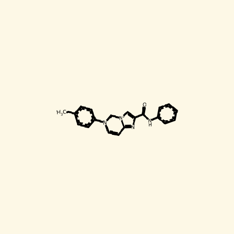 Cc1ccc(N2C=CC3=NC(C(=O)Nc4ccccc4)=C[N+]3C2)cc1